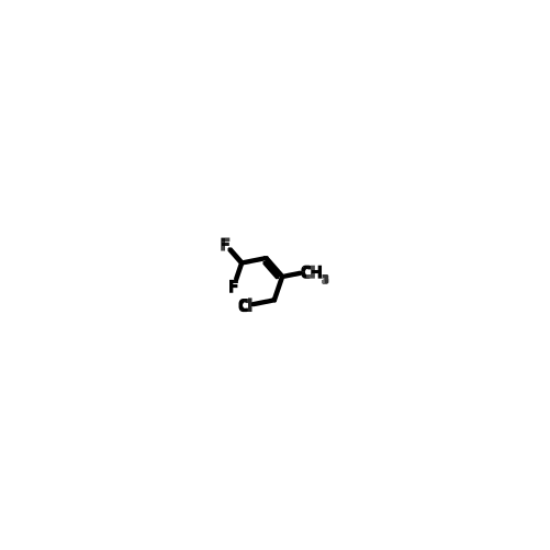 CC(=CC(F)F)CCl